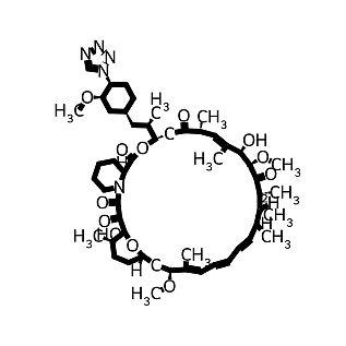 [2H]C1(C)[C@@H](C)C(=O)[C@H](OC)[C@H](O)/C(C)=C/[C@@H](C)C(=O)C[C@@H]([C@H](C)C[C@@H]2CC[C@H](n3cnnn3)[C@H](OC)C2)OC(=O)[C@@H]2CCCCN2C(=O)C(=O)[C@]2(O)O[C@@H](CC[C@H]2C)C[C@H](OC)/C(C)=C/C=C/C=C/[C@@]1([2H])C